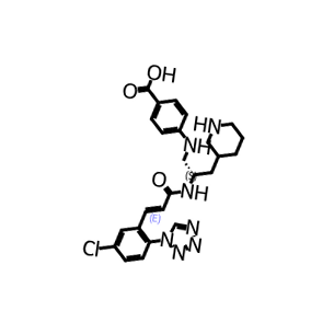 O=C(/C=C/c1cc(Cl)ccc1-n1cnnn1)N[C@H](CNc1ccc(C(=O)O)cc1)CC1CCCNC1